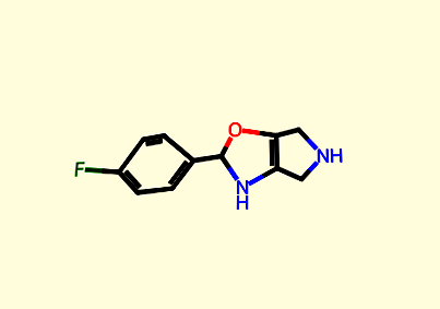 Fc1ccc(C2NC3=C(CNC3)O2)cc1